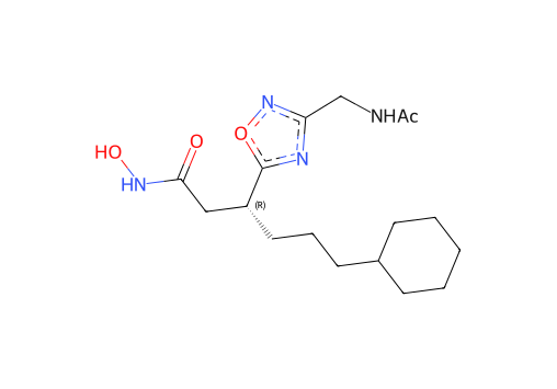 CC(=O)NCc1noc([C@H](CCCC2CCCCC2)CC(=O)NO)n1